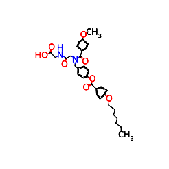 CCCCCCCOc1ccc(C(=O)Oc2ccc(CN(CC(=O)NCC(=O)O)C(=O)c3ccc(OC)cc3)cc2)cc1